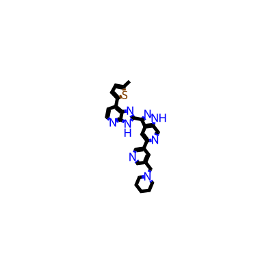 Cc1ccc(-c2ccnc3[nH]c(-c4n[nH]c5cnc(-c6cncc(CN7CCCCC7)c6)cc45)nc23)s1